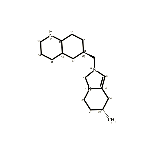 C[C@@H]1CCN2CN(C[C@@H]3CCC4NCCCC4C3)C=C2C1